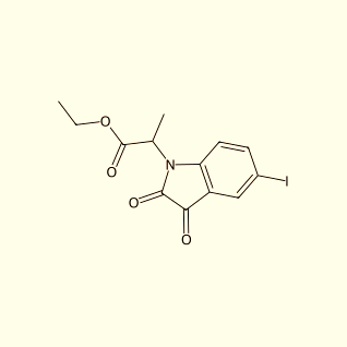 CCOC(=O)C(C)N1C(=O)C(=O)c2cc(I)ccc21